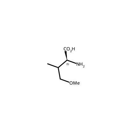 COCC(C)[C@H](N)C(=O)O